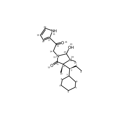 CC[C@@H](C1CCCCC1)[C@]1(C)C(=O)N(CC(=O)c2ccc[nH]2)C(O)N1C